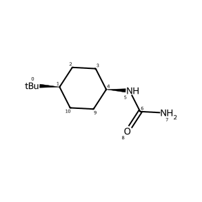 CC(C)(C)[C@H]1CC[C@@H](NC(N)=O)CC1